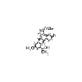 COc1ncc(-c2nc3cc(C)cc(C(C)O)c3cc2-c2ccc(F)cc2)s1